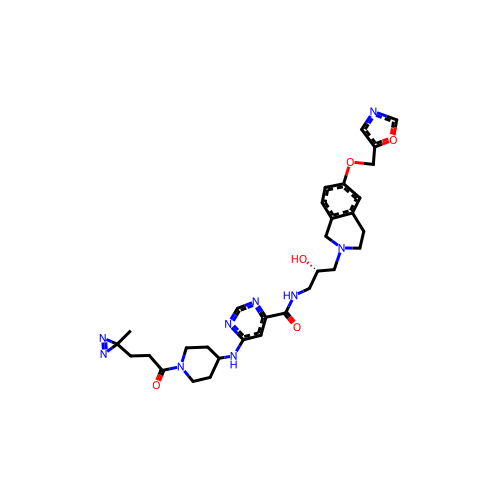 CC1(CCC(=O)N2CCC(Nc3cc(C(=O)NC[C@H](O)CN4CCc5cc(OCc6cnco6)ccc5C4)ncn3)CC2)N=N1